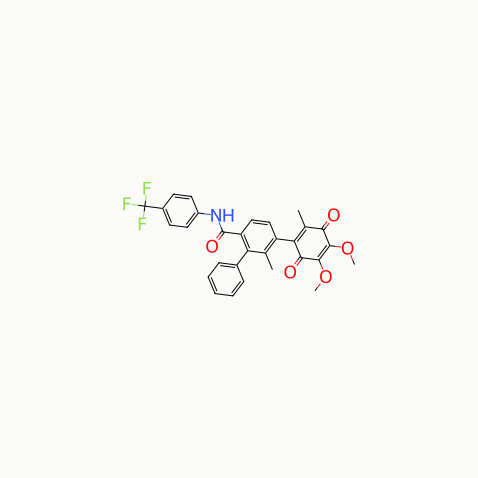 COC1=C(OC)C(=O)C(c2ccc(C(=O)Nc3ccc(C(F)(F)F)cc3)c(-c3ccccc3)c2C)=C(C)C1=O